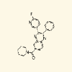 O=C(c1ccc2nc(-c3ccccc3)c(-c3ccc(F)nc3)nc2c1)N1CCCCC1